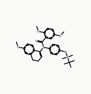 COc1ccc2c(c1)CCC=C2N(C(=O)c1cc(OC)ccc1OC)c1ccc(O[Si](C)(C)C(C)(C)C)cc1